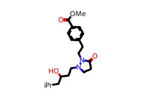 COC(=O)c1ccc(CCN2C(=O)CCN2CCC(O)CC(C)C)cc1